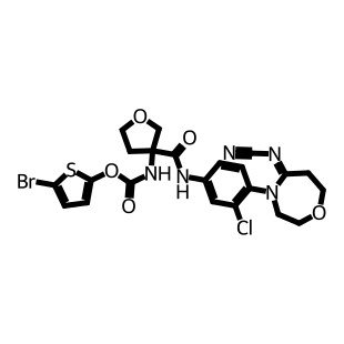 N#CN=C1CCOCCN1c1ccc(NC(=O)C2(NC(=O)Oc3ccc(Br)s3)CCOC2)cc1Cl